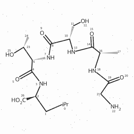 CC(C)C[C@H](NC(=O)[C@@H](NC(=O)[C@H](CO)NC(=O)[C@H](C)NC(=O)CN)[C@@H](C)O)C(=O)O